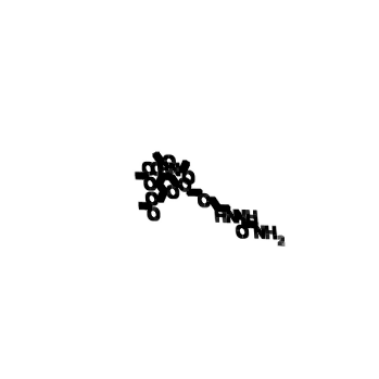 CC(=O)NC1C(OCCOCCCNNC(=O)CN)OC(COC(C)=O)C(OC(C)=O)C1OC(C)=O